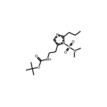 CCCc1ncc(CCNC(=O)OC(C)(C)C)n1S(=O)(=O)N(C)C